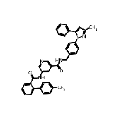 Cc1cc(-c2ccccc2)n(-c2ccc(CNC(=O)c3cncc(NC(=O)c4ccccc4-c4ccc(C(F)(F)F)cc4)c3)cc2)n1